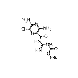 CCCCOC(=O)NC(=N)NC(=O)c1nc(Cl)c(N)nc1N